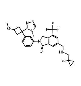 COC1CC(c2cccc(N3Cc4c(cc(CNCC5(F)CC5)cc4C(F)(F)F)C3=O)c2)(c2nncn2C)C1